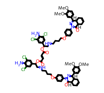 COc1ccc(C2=NN(c3ccc(OCCCCNCC(OC(=O)/C=C/C(=O)OC(CNCCCCOc4ccc(N5N=C(c6ccc(OC)c(OC)c6)[C@H]6CC=CC[C@H]6C5=O)cc4)c4cc(Cl)c(N)c(Cl)c4)c4cc(Cl)c(N)c(Cl)c4)cc3)C(=O)[C@@H]3CC=CC[C@H]23)cc1OC